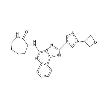 O=C1NCCCC[C@H]1Nc1nc2ccccc2c2nc(-c3cnn(C4COC4)c3)nn12